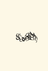 CN1CC[C@@H](Oc2ccc(B3OC(C)(C)C(C)(C)O3)cc2)C1